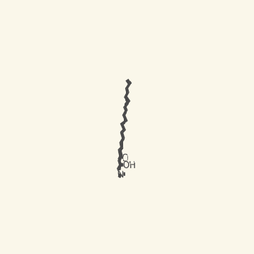 CCCCCCCCCCCCCCCCCC(=O)CC(O)CN(C)C